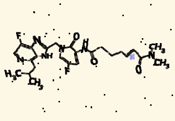 CC(C)Cc1ncc(F)c2nc(Cn3cc(F)cc(NC(=O)CCC/C=C/C(=O)N(C)C)c3=O)[nH]c12